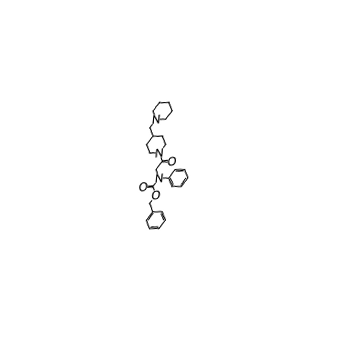 O=C(CN(C(=O)OCc1ccccc1)c1ccccc1)N1CCC(CN2CCCCC2)CC1